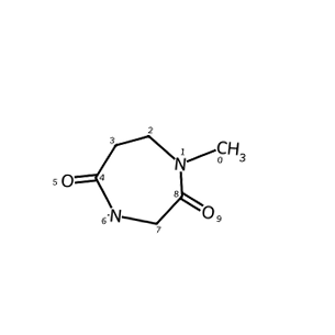 CN1CCC(=O)[N]CC1=O